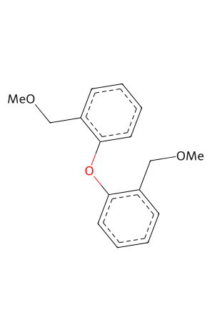 COCc1ccccc1Oc1ccccc1COC